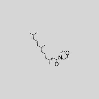 CC(C)=CCC/C(C)=C/CC/C(C)=C/C(=O)N1CCOCC1